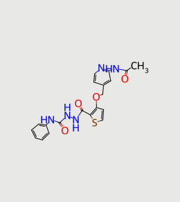 CC(=O)Nc1cc(COc2ccsc2C(=O)NNC(=O)Nc2ccccc2)ccn1